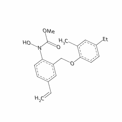 C=Cc1ccc(N(O)C(=O)OC)c(COc2ccc(CC)cc2C)c1